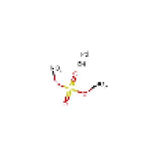 O=[N+]([O-])OS(=O)(=O)O[N+](=O)[O-].[KH].[Pd]